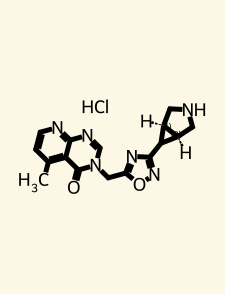 Cc1ccnc2ncn(Cc3nc(C4[C@H]5CNC[C@@H]45)no3)c(=O)c12.Cl